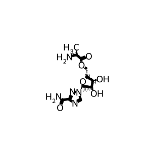 C[C@H](N)C(=O)OC[C@H]1O[C@@H](n2cnc(C(N)=O)n2)[C@H](O)[C@@H]1O